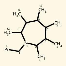 CC(C)CN1C(C)C(C)C(C)C(C)C(C)C1C